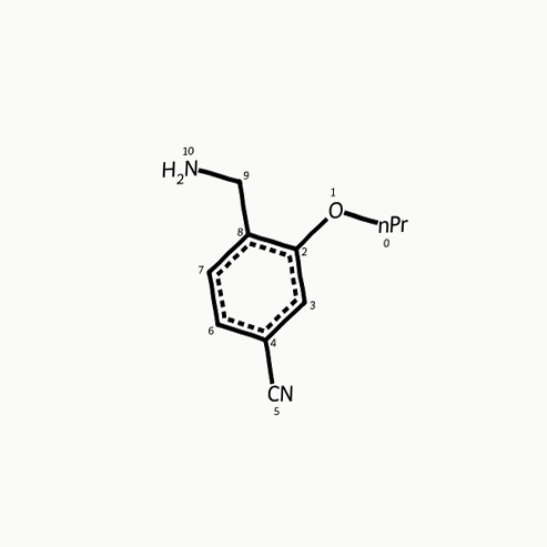 CCCOc1cc(C#N)ccc1CN